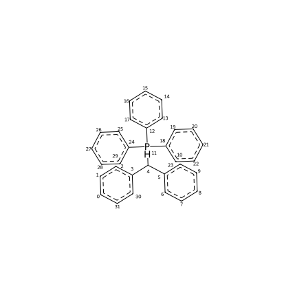 c1ccc(C(c2ccccc2)[PH](c2ccccc2)(c2ccccc2)c2ccccc2)cc1